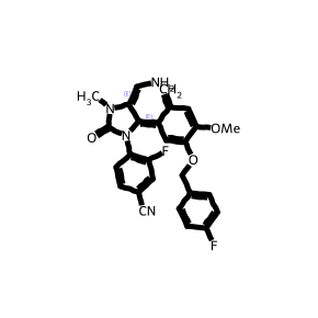 C=c1cc(OC)c(OCc2ccc(F)cc2)c/c1=c1/c(=C\N)n(C)c(=O)n1-c1ccc(C#N)cc1F